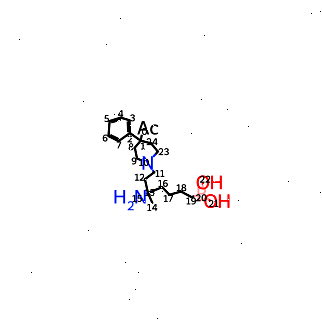 CC(=O)C1(c2ccccc2)CCN(CCC(C)(N)CCCCB(O)O)CC1